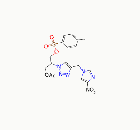 CC(=O)OCC(COS(=O)(=O)c1ccc(C)cc1)n1cc(Cn2cnc([N+](=O)[O-])c2)nn1